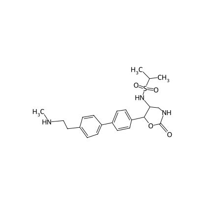 CNCCc1ccc(-c2ccc(C3OC(=O)NCC3NS(=O)(=O)C(C)C)cc2)cc1